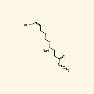 CCCCCCCC/C=C\CCCCCCCC(=O)N=C=S.[NaH]